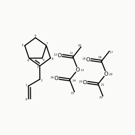 C=CCC1=C2CCC(C1)C2.CC(=O)OC(C)=O.CC(=O)OC(C)=O